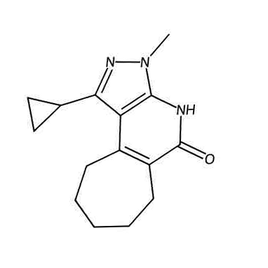 Cn1nc(C2CC2)c2c3c(c(=O)[nH]c21)CCCCC3